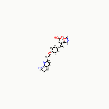 O=C(O)CC1(c2cnco2)CC1c1ccc(OCCc2ccc3c(n2)NCCC3)cc1